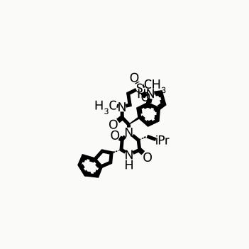 CC(C)C[C@@H]1C(=O)N[C@H](C2Cc3ccccc3C2)C(=O)N1[C@@H](C(=O)N(C)CCS(C)(=O)=O)c1ccc2cc[nH]c2c1